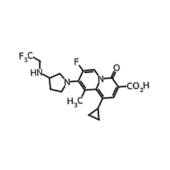 Cc1c(N2CCC(NCC(F)(F)F)C2)c(F)cn2c(=O)c(C(=O)O)cc(C3CC3)c12